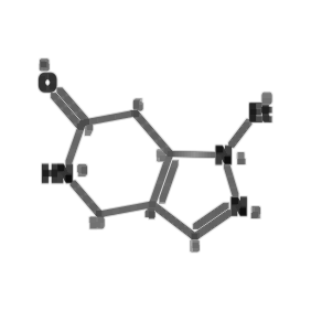 CCn1ncc2c1CC(=O)NC2